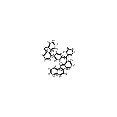 c1ccc(N(c2ccc(-c3cccc4oc5ccccc5c34)cc2)c2cccc3c2oc2c4ccccc4ccc32)cc1